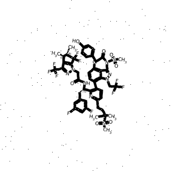 C[C@@H]1c2c(C(F)(F)F)nn(CC(=O)N[C@@H](Cc3cc(F)cc(F)c3)c3nc(CCC(C)(C)S(C)(=O)=O)ccc3-c3ccc(Cl)c4c(N(C(=O)Cc5ccc(O)cc5)S(C)(=O)=O)nn(CC(F)(F)F)c34)c2C(F)(F)[C@@H]1C